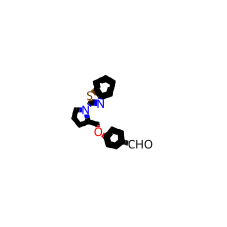 O=Cc1ccc(OCC2CCCN2c2nc3ccccc3s2)cc1